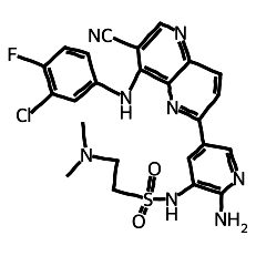 CN(C)CCS(=O)(=O)Nc1cc(-c2ccc3ncc(C#N)c(Nc4ccc(F)c(Cl)c4)c3n2)cnc1N